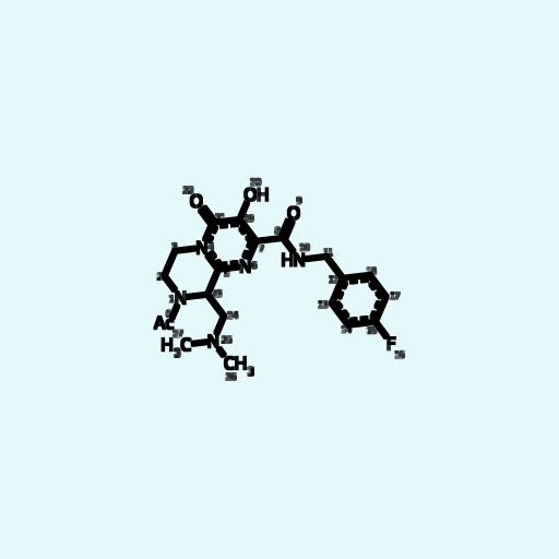 CC(=O)N1CCn2c(nc(C(=O)NCc3ccc(F)cc3)c(O)c2=O)C1CN(C)C